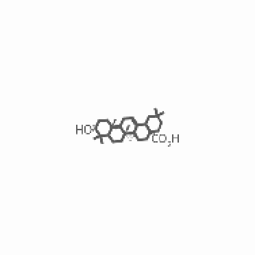 CC1(C)CC[C@]2(C(=O)O)CC[C@]3(C)C(=CCC4[C@@]5(C)CC[C@@H](O)C(C)(C)C5CC[C@]43C)C2C1